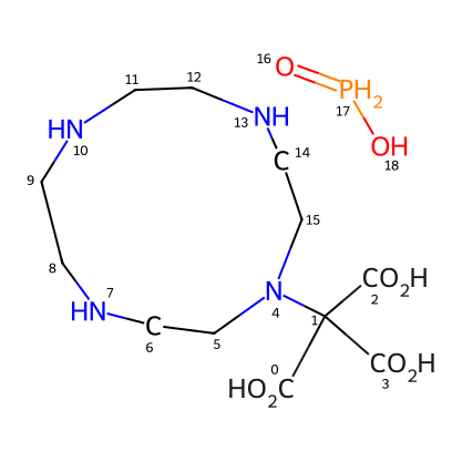 O=C(O)C(C(=O)O)(C(=O)O)N1CCNCCNCCNCC1.O=[PH2]O